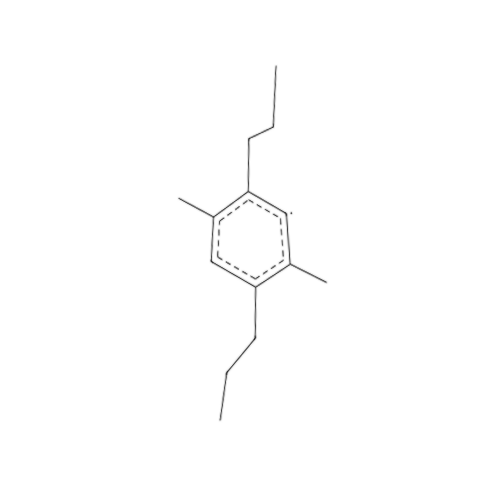 CCCc1[c]c(C)c(CCC)cc1C